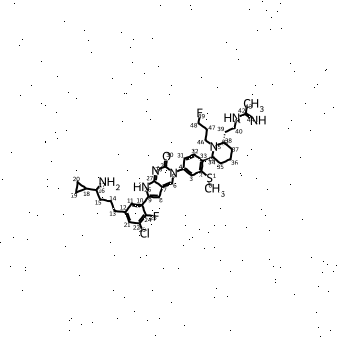 CSc1cc(-n2cc3cc(-c4cc(CCCC(N)C5CC5)cc(Cl)c4F)[nH]c3nc2=O)ccc1[C@@H]1CCC[C@@H](CCNC(C)=N)N1CCCF